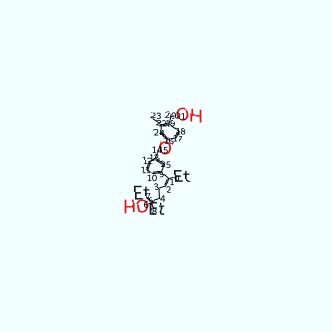 CC/C(=C/CCC(O)(CC)CC)c1cccc(COc2ccc(CO)c(C)c2)c1